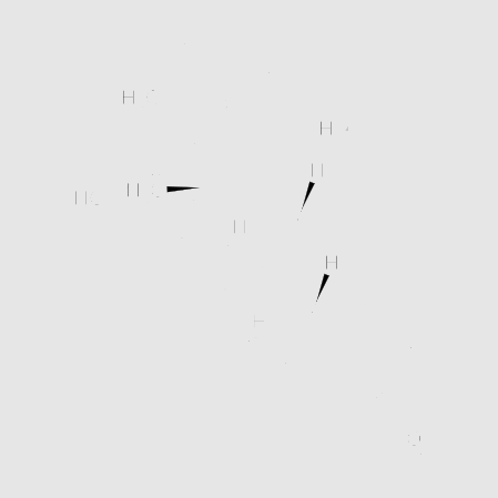 C#C[C@@]1(C)[C@H]2C[C@H]2[C@H]2[C@@H]3CCC4=CC(=O)CC[C@@H]4[C@H]3CC[C@@]21C